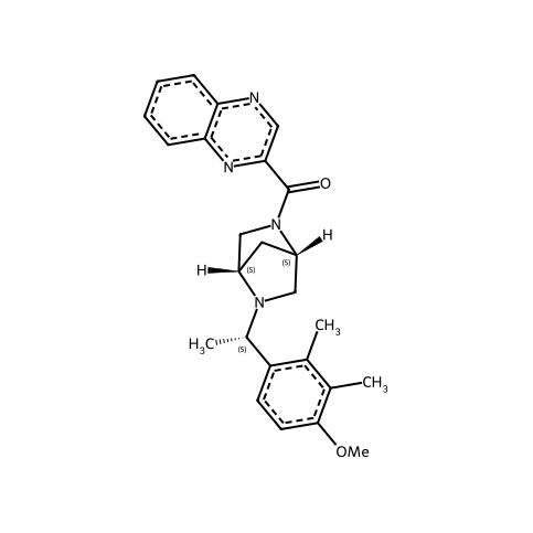 COc1ccc([C@H](C)N2C[C@@H]3C[C@H]2CN3C(=O)c2cnc3ccccc3n2)c(C)c1C